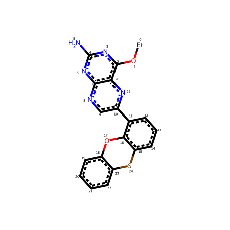 CCOc1nc(N)nc2ncc(-c3cccc4c3Oc3ccccc3S4)nc12